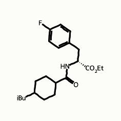 CCOC(=O)[C@@H](Cc1ccc(F)cc1)NC(=O)C1CCC(C(C)CC)CC1